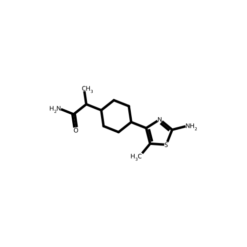 Cc1sc(N)nc1C1CCC(C(C)C(N)=O)CC1